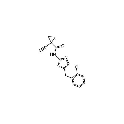 N#CC1(C(=O)Nc2ncc(Cc3ccccc3Cl)s2)CC1